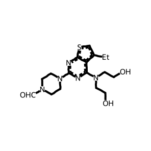 CCc1csc2nc(N3CCN(C=O)CC3)nc(N(CCO)CCO)c12